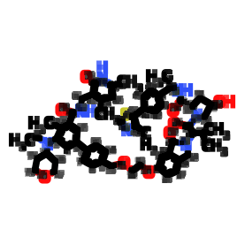 CCN(c1cc(-c2ccc(COCCOc3ccc4c(c3)C(=O)N(C(C(=O)N3C[C@H](O)C[C@H]3C(=O)N[C@@H](C)c3ccc(-c5scnc5C)cc3)C(C)C)C4)cc2)cc(C(=O)NCc2c(C)cc(C)[nH]c2=O)c1C)C1CCOCC1